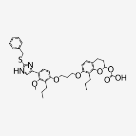 CCCc1c(OCCCOc2ccc(-c3c[nH]c(SCc4ccccc4)n3)c(OC)c2CCC)ccc2c1OC(OC(=O)O)CC2